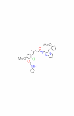 COc1ccccc1Cc1c(C[N]C(=O)CCC(C)Cc2ccc(OC)c(OCCNC3CCCC3)c2Cl)nc2ccccn12